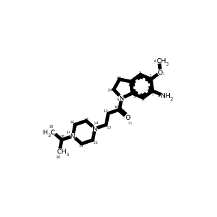 COc1cc2c(cc1N)N(C(=O)CCN1CCN(C(C)C)CC1)CC2